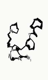 Nc1ncnn2c(/C=C\CCN3CCCC3)cc(-c3cccc(OCc4ccccc4)c3)c12